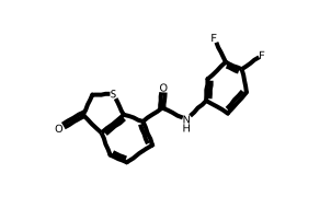 O=C1CSc2c1cccc2C(=O)Nc1ccc(F)c(F)c1